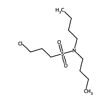 CCCCN(CCCC)S(=O)(=O)CCCCl